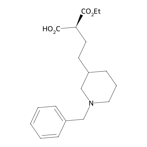 CCOC(=O)[C@@H](CCC1CCCN(Cc2ccccc2)C1)C(=O)O